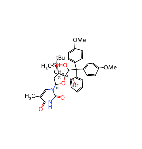 COc1ccc(C(c2ccccc2)(c2ccc(OC)cc2)C(O[Si](C)(C)C(C)(C)C)[C@@]2(CBr)O[C@@H](n3cc(C)c(=O)[nH]c3=O)C[C@@H]2O)cc1